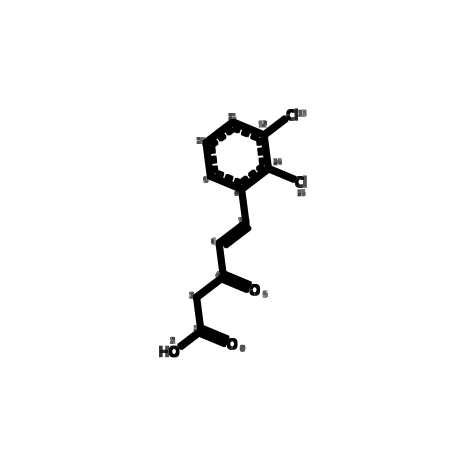 O=C(O)CC(=O)C=Cc1cccc(Cl)c1Cl